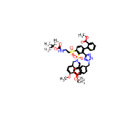 COC(=O)c1ccccc1-c1ccc(S(=O)(=O)CCNC(=O)OC(C)(C)C)c(S(=O)(=O)N(Cc2ccc(OC)cc2)Cc2ccc(OC)cc2)c1-c1nnn(Cc2ccc(OC)cc2)n1